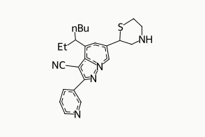 CCCCC(CC)c1cc(C2CNCCS2)cn2nc(-c3cccnc3)c(C#N)c12